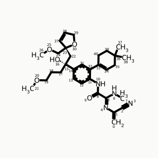 C=C(C#N)/N=C(\NC)C(=O)Nc1ccc([C@@](O)(CCCOC)C[C@@]2(COC)C=CCO2)cc1C1=CCC(C)(C)CC1